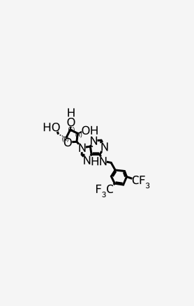 OC[C@H]1OC(n2cnc3c(NCc4cc(C(F)(F)F)cc(C(F)(F)F)c4)ncnc32)[C@H](O)[C@@H]1O